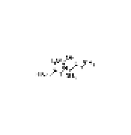 CCCCN(CCCC)C(C)O.N